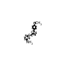 COc1ccc(-c2nnc(CSc3ncnc(N)n3)o2)cc1